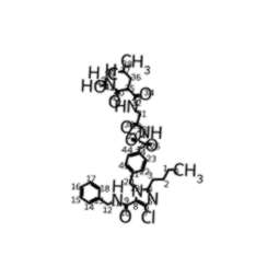 CCCCc1nc(Cl)c(C(=O)NCc2ccccc2)n1Cc1ccc(S(=O)(=O)NC(=O)CNC(=O)C(CC(C)C)C(=O)NO)cc1